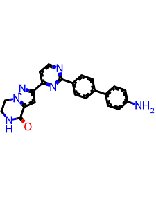 Nc1ccc(-c2ccc(-c3nccc(-c4cc5n(n4)CCNC5=O)n3)cc2)cc1